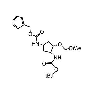 COCO[C@H]1C[C@@H](NC(=O)OCc2ccccc2)C[C@H]1NC(=O)OC(C)(C)C